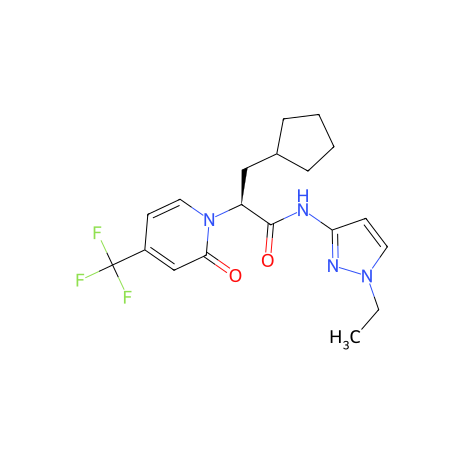 CCn1ccc(NC(=O)[C@H](CC2CCCC2)n2ccc(C(F)(F)F)cc2=O)n1